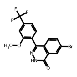 COc1cc(C(F)(F)F)ccc1-c1n[nH]c(=O)c2cc(Br)ccc12